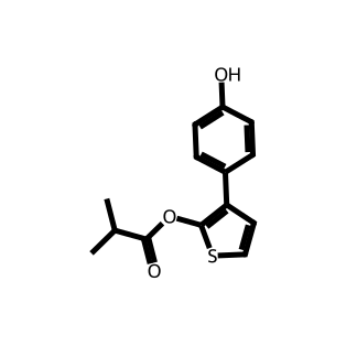 CC(C)C(=O)Oc1sccc1-c1ccc(O)cc1